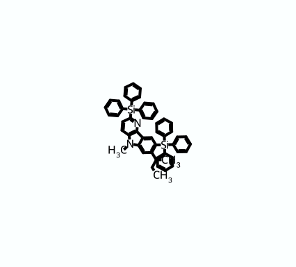 CCC(C)c1cc2c(cc1[Si](c1ccccc1)(c1ccccc1)c1ccccc1)c1nc([Si](c3ccccc3)(c3ccccc3)c3ccccc3)ccc1n2C